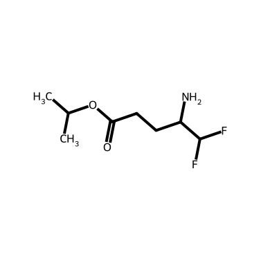 CC(C)OC(=O)CCC(N)C(F)F